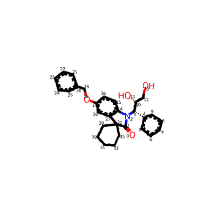 O=C1N([C@@H](c2ccccc2)[C@H](O)CO)c2ccc(OCc3ccccc3)cc2C12CCCCC2